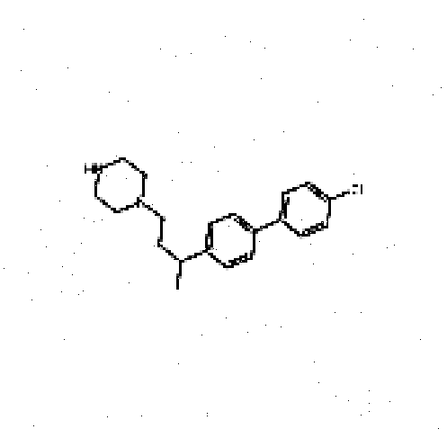 CC(CCN1CCNCC1)c1ccc(-c2ccc(Cl)cc2)cc1